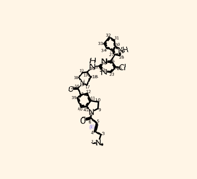 CN(C)C/C=C/C(=O)N1CCc2cc(C(=O)N3CCC(Nc4ncc(Cl)c(-c5c[nH]c6ccccc56)n4)CC3)ccc21